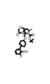 C[C@@H]1CC2(COCC(=O)N2)C(COC2CC=C(c3cccc(F)c3O)CC2)N1C(=O)OC(C)(C)C